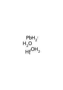 O.O.[Hf].[PbH2]